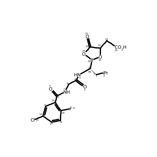 CC(C)C[C@H](NC(=O)CNC(=O)c1cc(Cl)ccc1F)B1OC(=O)C(CC(=O)O)O1